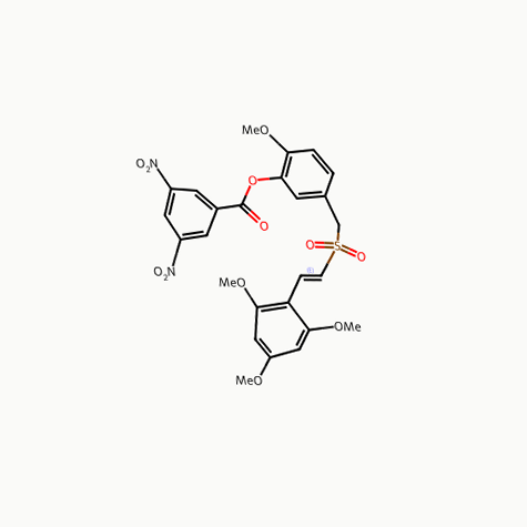 COc1cc(OC)c(/C=C/S(=O)(=O)Cc2ccc(OC)c(OC(=O)c3cc([N+](=O)[O-])cc([N+](=O)[O-])c3)c2)c(OC)c1